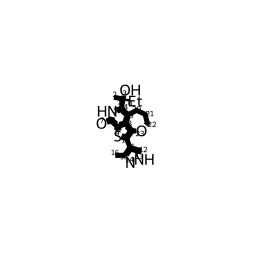 CC[C@@](C)(O)c1[nH]c(=O)c2sc(-c3c[nH]nc3C)c3c2c1CCCO3